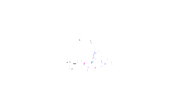 CCCCNc1c(C(=O)N[C@H]2CC[C@@H](c3ccccc3)CC2)[nH]c(=O)[nH]c1=O